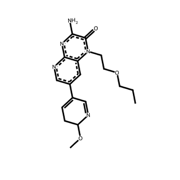 CCCOCCn1c(=O)c(N)nc2ncc(C3=CCC(OC)N=C3)cc21